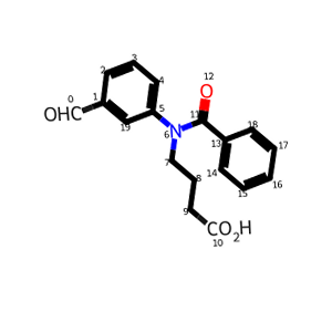 O=Cc1cccc(N(CCCC(=O)O)C(=O)c2ccccc2)c1